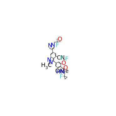 COc1cc(-c2c3c(C#N)cc(-c4cnn(CC5(F)COC5)c4)cc3nn2C)cc(OC(F)F)c1C(=O)NCC1(F)CC1